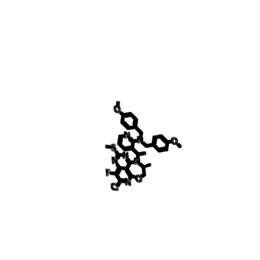 COc1ccc(CN(Cc2ccc(OC)cc2)c2ncccc2C(C)N2c3nc(SC)nc4c(F)c(Cl)nc(c34)OC[C@@H]2C)cc1